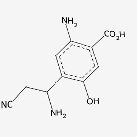 N#CCC(N)c1cc(N)c(C(=O)O)cc1O